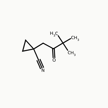 CC(C)(C)C(=O)CC1(C#N)CC1